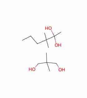 CC(C)(CO)CO.CCCC(C)(C)C(C)(O)O